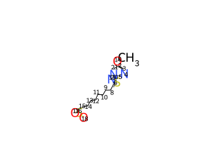 COC1=CN=C2SC(CCCCCCCC=S(=O)=O)=NN2C1